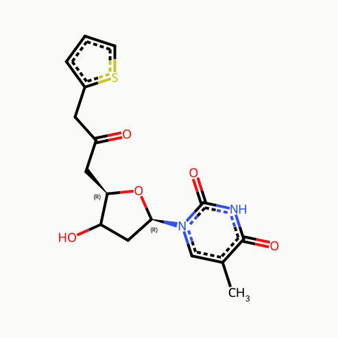 Cc1cn([C@H]2CC(O)[C@@H](CC(=O)Cc3cccs3)O2)c(=O)[nH]c1=O